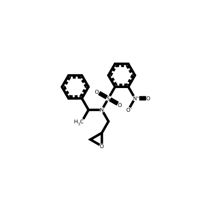 CC(c1ccccc1)N(CC1CO1)S(=O)(=O)c1ccccc1[N+](=O)[O-]